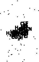 CC(C)(CC(=O)O)N1C=C([C@@H](Nc2cc(Cl)c3ncc(C#N)c(Nc4ccc(F)c(Cl)c4)c3c2)c2ccc(F)cc2)NN1